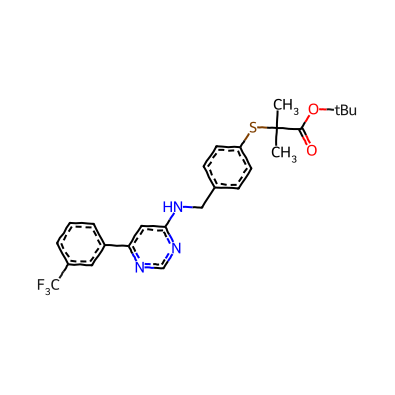 CC(C)(C)OC(=O)C(C)(C)Sc1ccc(CNc2cc(-c3cccc(C(F)(F)F)c3)ncn2)cc1